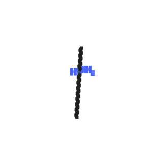 CCCCCCCCCCCCCCCCCNC(N)CCCCCCCC